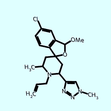 C=CCN1C(C)CC2(CC1c1cn(C)nn1)OC(OC)c1cc(Cl)ccc12